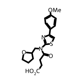 COc1ccc(-c2csc(N(CC3CCCO3)C(=O)CCC(=O)O)n2)cc1